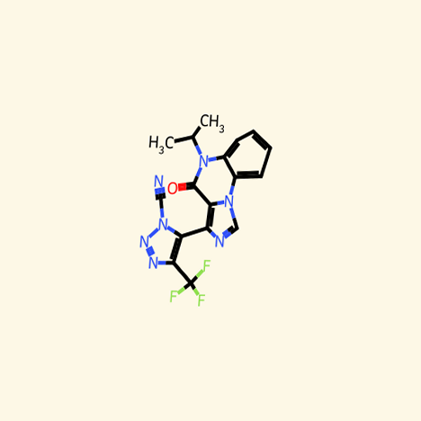 CC(C)n1c(=O)c2c(-c3c(C(F)(F)F)nnn3C#N)ncn2c2ccccc21